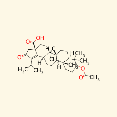 CC(=O)OC1CC[C@]2(C)[C@H]3CC[C@@H]4C5=C(C(C)C)C(=O)C[C@]5(C(=O)O)CC[C@@]4(C)[C@]3(C)CC[C@H]2C1(C)C